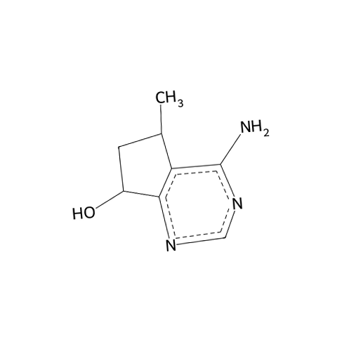 CC1CC(O)c2ncnc(N)c21